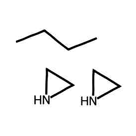 C1CN1.C1CN1.CCCC